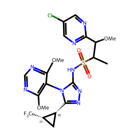 COc1ncnc(OC)c1-n1c(NS(=O)(=O)C(C)C(OC)c2ncc(Cl)cn2)nnc1[C@@H]1C[C@@H]1C(F)(F)F